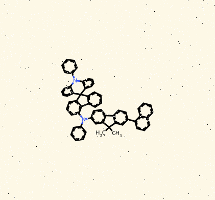 CC1(C)c2cc(-c3cccc4ccccc34)ccc2-c2ccc(N(c3ccccc3)c3cccc4c3-c3ccccc3C43c4ccccc4N(c4ccccc4)c4ccccc43)cc21